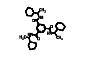 CC(NC(=O)c1cc(C(=O)NC(C)C2CCCCC2)cc(C(=O)NC(C)C2CCCCC2)c1)C1CCCCC1